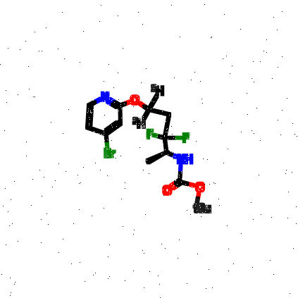 [2H]C([2H])(CC(F)(F)[C@H](C)NC(=O)OC(C)(C)C)Oc1cc(Br)ccn1